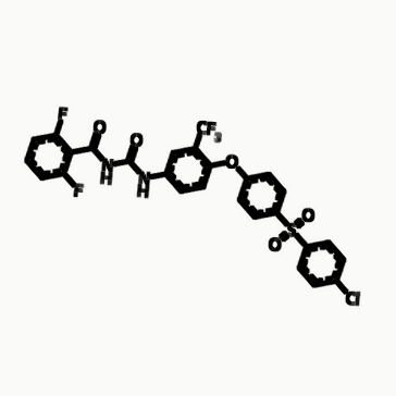 O=C(NC(=O)c1c(F)cccc1F)Nc1ccc(Oc2ccc(S(=O)(=O)c3ccc(Cl)cc3)cc2)c(C(F)(F)F)c1